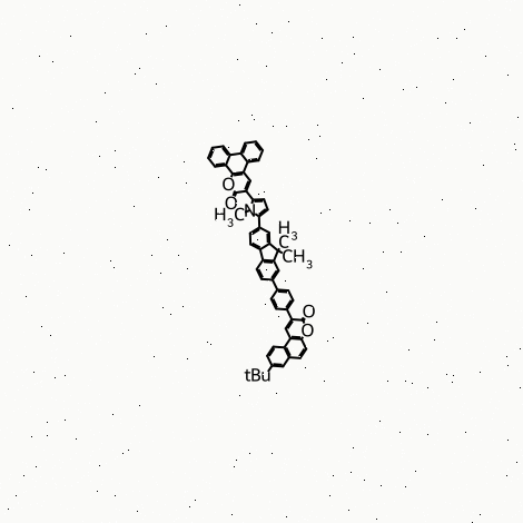 Cn1c(-c2ccc3c(c2)C(C)(C)c2cc(-c4ccc(-c5cc6c(ccc7cc(C(C)(C)C)ccc76)oc5=O)cc4)ccc2-3)ccc1-c1cc2c3ccccc3c3ccccc3c2oc1=O